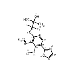 C=Nc1c(OC(F)(F)C(C)(C)O)ccc(-c2ncco2)c1OCC